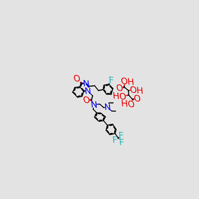 CCN(CC)CCN(Cc1ccc(-c2ccc(C(F)(F)F)cc2)cc1)C(=O)Cn1c(CCc2cccc(F)c2)nc(=O)c2ccccc21.O=C(O)C(O)C(O)C(=O)O